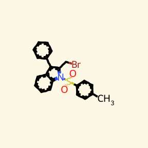 Cc1ccc(S(=O)(=O)n2c(CBr)c(-c3ccccc3)c3ccccc32)cc1